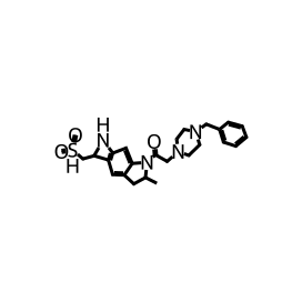 CC1Cc2cc3c(cc2N1C(=O)CN1CCN(Cc2ccccc2)CC1)NC3C[SH](=O)=O